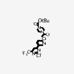 CC(C)(C)OC1OC1N1CCN(C(=O)COc2ccc(-c3cc(C(F)(F)F)nc(Cl)n3)cn2)CC1